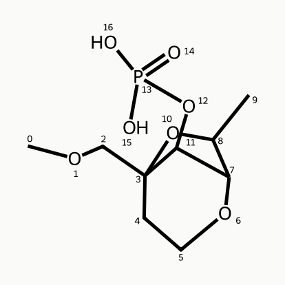 COCC12CCOC(C(C)O1)C2OP(=O)(O)O